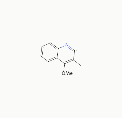 COc1c(C)[c]nc2ccccc12